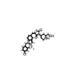 O=C1SC(=Cc2ccc3c(cnn3Cc3ccc(Cl)cc3C(F)(F)F)c2)C(=O)N1C1CCNC(CO)C1